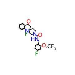 O=C1CC2(CCN(C(=O)NCc3ccc(F)cc3OCC(F)(F)F)CC2)N(F)c2ccccc21